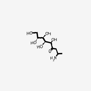 CC(N)CC(=O)[C@H](O)[C@@H](O)[C@H](O)[C@H](O)CO